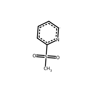 CS(=O)(=O)c1ccc[c]n1